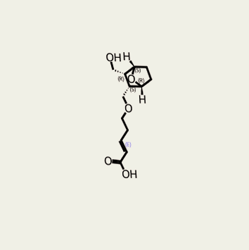 O=C(O)/C=C/CCOC[C@@H]1[C@H](CO)[C@@H]2CC[C@H]1O2